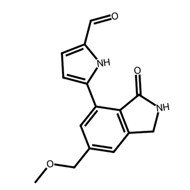 COCc1cc2c(c(-c3ccc(C=O)[nH]3)c1)C(=O)NC2